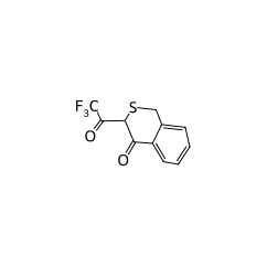 O=C1c2ccccc2CSC1C(=O)C(F)(F)F